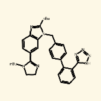 CCCCc1nc2ccc(C3=NCCN3CCCC)cc2n1Cc1ccc(-c2ccccc2-c2nnn[nH]2)cc1